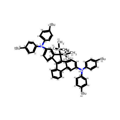 CC(C)(C)c1ccc(N(c2ccc(C(C)(C)C)cc2)c2ccc3c(c2)C([Si](C)(C)C)([Si](C)(C)C)c2c-3c3ccccc3c3cc(N(c4ccc(C(C)(C)C)cc4)c4ccc(C(C)(C)C)cc4)ccc23)cc1